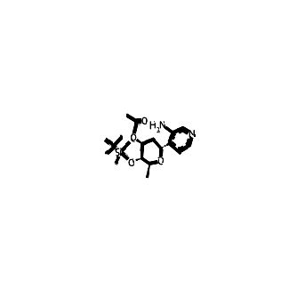 CC(=O)O[C@H]1C[C@H](c2ccncc2N)O[C@@H](C)[C@@H]1O[Si](C)(C)C(C)(C)C